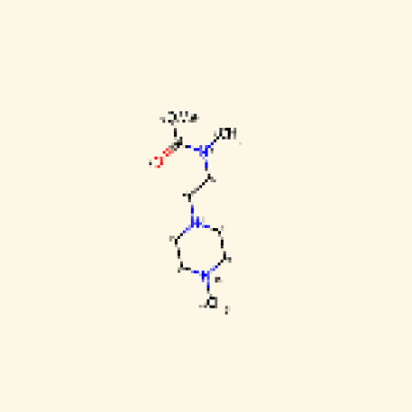 COC(=O)N(C)CCN1CCN(C)CC1